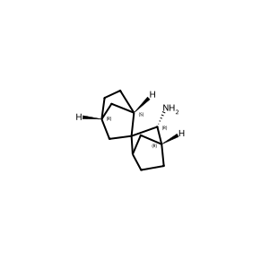 N[C@@H]1[C@@H]2CCC(C2)C12C[C@@H]1CC[C@H]2C1